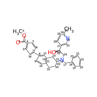 COC(=O)c1ccc(-c2ccc3c(c2)C[C@@H](N(Cc2ccccc2)C[C@@H](O)c2ccc(C)nc2)CC3)cc1